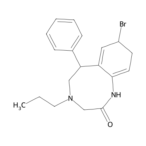 CCCN1CC(=O)NC2=CCC(Br)C=C2C(c2ccccc2)C1